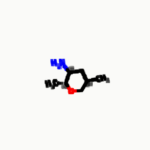 C[C@H]1CO[C@H](C)[C@@H](N)C1